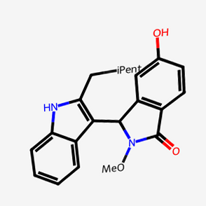 CCCC(C)Cc1[nH]c2ccccc2c1C1c2cc(O)ccc2C(=O)N1OC